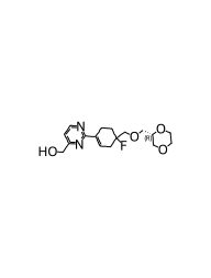 OCc1ccnc(C2=CCC(F)(COC[C@H]3COCCO3)CC2)n1